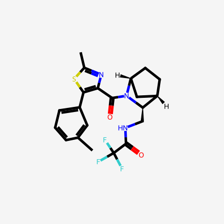 Cc1cccc(-c2sc(C)nc2C(=O)N2[C@@H]3CC[C@@H](C3)[C@H]2CNC(=O)C(F)(F)F)c1